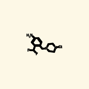 CCN1CCN(Cc2ccc(N)cc2C(F)F)CC1